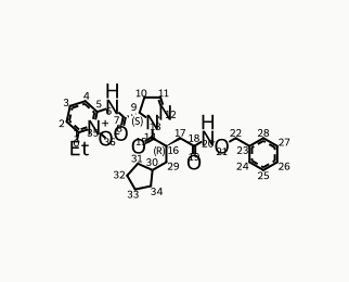 CCc1cccc(NC(=O)[C@@H]2CC=NN2C(=O)[C@@H](CC(=O)NOCc2ccccc2)CC2CCCC2)[n+]1[O-]